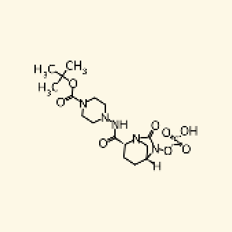 CC(C)(C)OC(=O)N1CCN(NC(=O)[C@@H]2CC[C@@H]3CN2C(=O)N3OS(=O)(=O)O)CC1